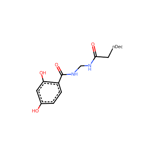 CCCCCCCCCCCC(=O)NCNC(=O)c1ccc(O)cc1O